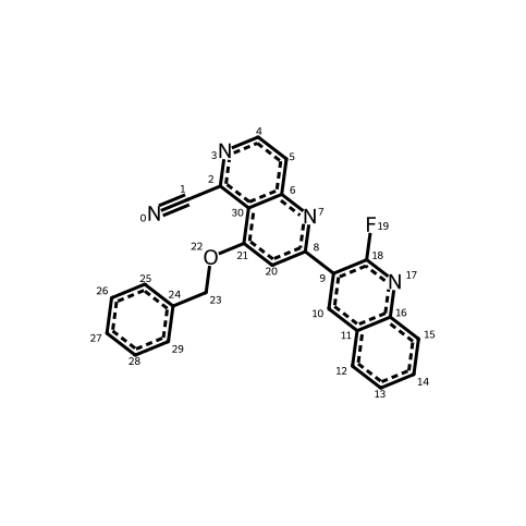 N#Cc1nccc2nc(-c3cc4ccccc4nc3F)cc(OCc3ccccc3)c12